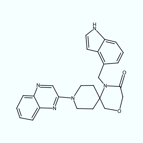 O=C1COCC2(CCN(c3cnc4ccccc4n3)CC2)N1Cc1cccc2[nH]ccc12